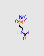 NS(=O)(=O)CCNC(=O)I